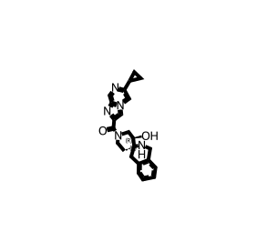 O=C(c1cn2cc(C3CC3)ncc2n1)N1CC[C@]2(Cc3ccccc3CN2)[C@H](O)C1